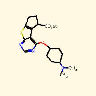 CCOC(=O)C1CCc2sc3ncnc(OC4CCC(N(C)C)CC4)c3c21